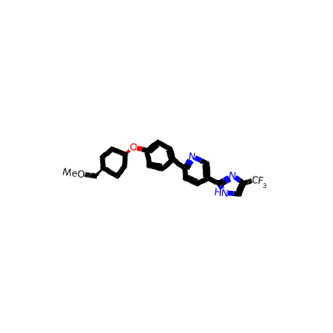 COC[C@H]1CC[C@@H](Oc2ccc(-c3ccc(-c4nc(C(F)(F)F)c[nH]4)cn3)cc2)CC1